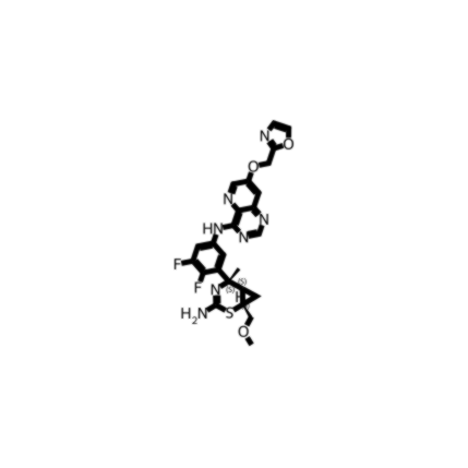 COC[C@]12C[C@H]1[C@@](C)(c1cc(Nc3ncnc4cc(OCc5ncco5)cnc34)cc(F)c1F)N=C(N)S2